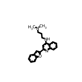 CN(C)CCCNc1cc(-c2cc3ccccc3o2)nc2ccccc12